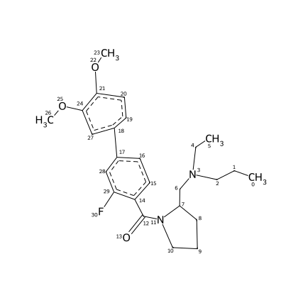 CCCN(CC)CC1CCCN1C(=O)c1ccc(-c2ccc(OC)c(OC)c2)cc1F